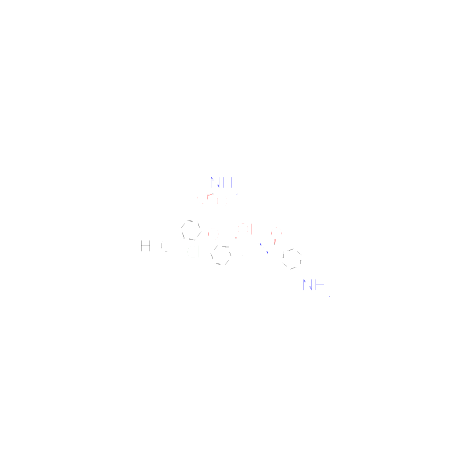 CCc1cccc(Oc2c(Cl)cccc2[C@](O)(CCCOC(N)=O)[C@@H]2CCCN(C(=O)c3ccc(CN)cc3)C2)c1